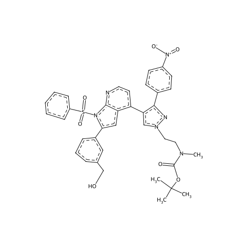 CN(CCn1cc(-c2ccnc3c2cc(-c2cccc(CO)c2)n3S(=O)(=O)c2ccccc2)c(-c2ccc([N+](=O)[O-])cc2)n1)C(=O)OC(C)(C)C